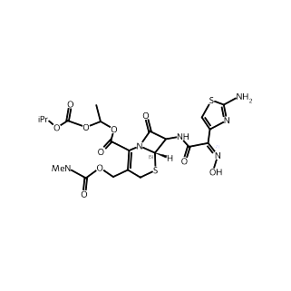 CNC(=O)OCC1=C(C(=O)OC(C)OC(=O)OC(C)C)N2C(=O)C(NC(=O)/C(=N\O)c3csc(N)n3)[C@@H]2SC1